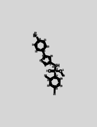 COP(=O)(Nc1csc(-c2ccc(Br)cc2)c1)c1ccc(C)cc1C